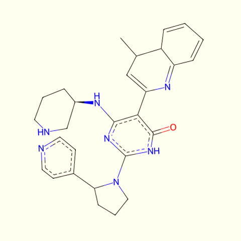 CC1C=C(c2c(N[C@@H]3CCCNC3)nc(N3CCCC3c3ccncc3)[nH]c2=O)N=C2C=CC=CC21